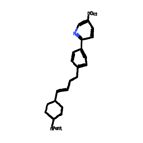 CCCCCCCCc1ccc(-c2ccc(CCC=CC3CCC(CCCCC)CC3)cc2)nc1